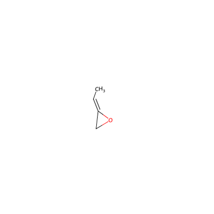 CC=C1CO1